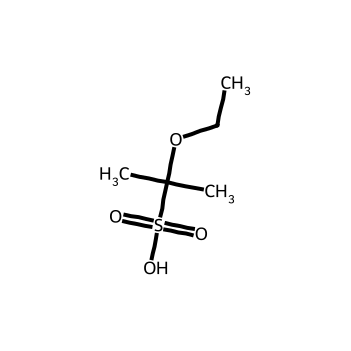 CCOC(C)(C)S(=O)(=O)O